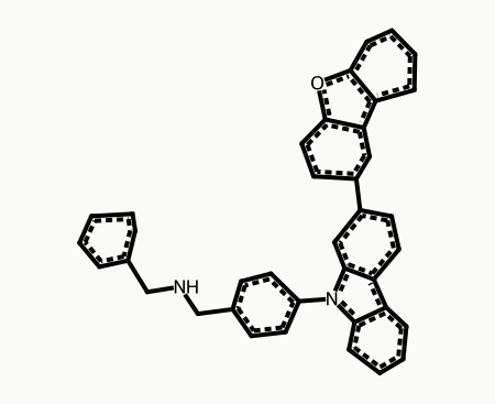 c1ccc(CNCc2ccc(-n3c4ccccc4c4ccc(-c5ccc6oc7ccccc7c6c5)cc43)cc2)cc1